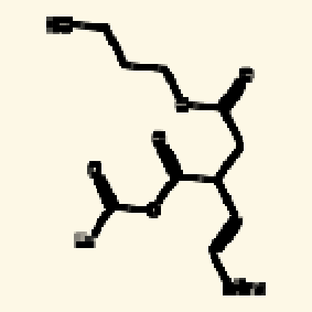 CCCCCCC=CC(CC(=O)OCCCO)C(=O)OC(=O)CC